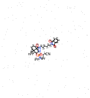 CCC[C@H]1C(OP(OCCC#N)N(C(C)C)C(C)C)CC[C@@]2(C(=O)NCCCCCCN3C(=O)c4ccccc4C3=O)CCCC[C@H]12